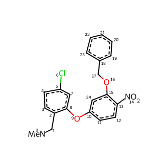 CNCc1ccc(Cl)cc1Oc1ccc([N+](=O)[O-])c(OCc2ccccc2)c1